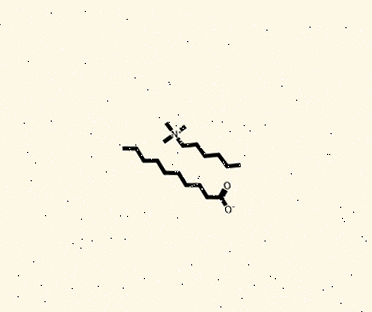 CCCCCCCCCC(=O)[O-].CCCCCC[N+](C)(C)C